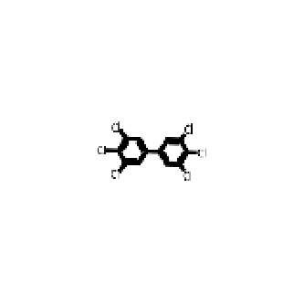 Clc1cc(-c2cc(Cl)c(Cl)c(Cl)c2)cc(Cl)c1Cl